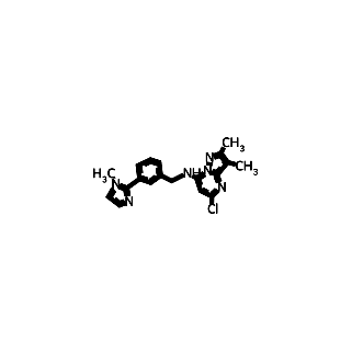 Cc1nn2c(NCc3cccc(-c4nccn4C)c3)cc(Cl)nc2c1C